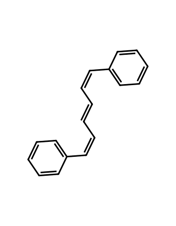 C(=C/c1ccccc1)/C=C/C=C\c1ccccc1